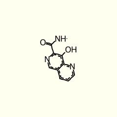 [NH]C(=O)c1ncc2cccnc2c1O